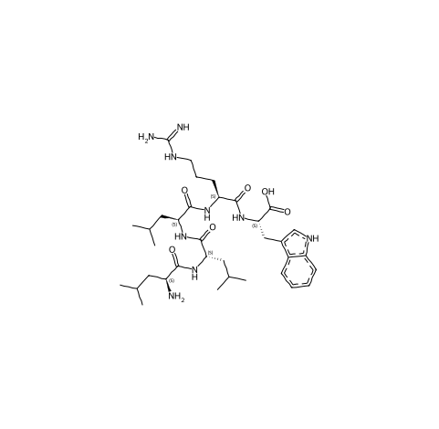 CC(C)C[C@H](NC(=O)[C@H](CC(C)C)NC(=O)[C@@H](N)CC(C)C)C(=O)N[C@@H](CCCNC(=N)N)C(=O)N[C@@H](Cc1c[nH]c2ccccc12)C(=O)O